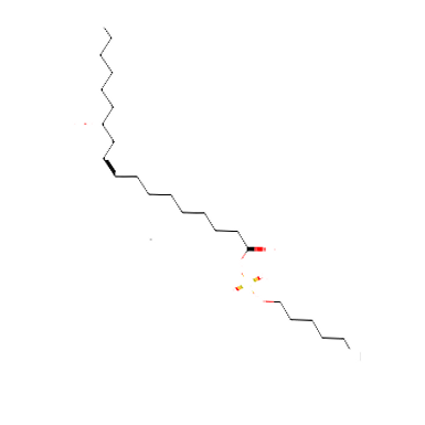 CCCCCCOS(=O)(=O)OC(=O)CCCCCCC/C=C\C[C@H](O)CCCCCC.[KH]